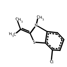 CC(C)=C1Sc2c(Cl)cccc2N1C